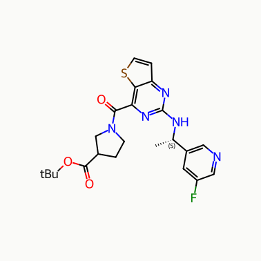 C[C@H](Nc1nc(C(=O)N2CCC(C(=O)OC(C)(C)C)C2)c2sccc2n1)c1cncc(F)c1